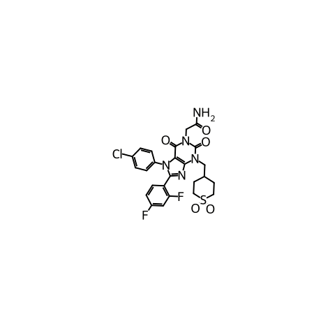 NC(=O)Cn1c(=O)c2c(nc(-c3ccc(F)cc3F)n2-c2ccc(Cl)cc2)n(CC2CCS(=O)(=O)CC2)c1=O